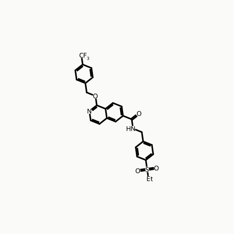 CCS(=O)(=O)c1ccc(CNC(=O)c2ccc3c(OCc4ccc(C(F)(F)F)cc4)nccc3c2)cc1